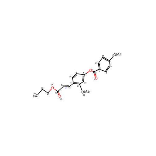 COc1ccc(C(=O)Oc2ccc(/C=C/C(=O)OCCC#N)c(OC)c2)cc1